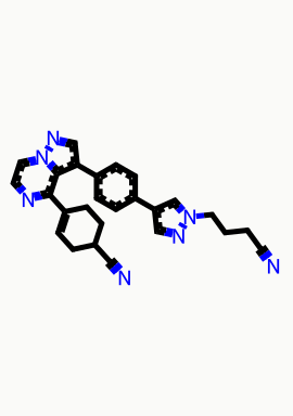 N#CCCCn1cc(-c2ccc(-c3cnn4ccnc(C5=CCC(C#N)CC5)c34)cc2)cn1